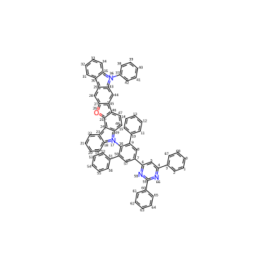 c1ccc(-c2cc(-c3cc(-c4ccccc4)c(-n4c5ccccc5c5c6oc7cc8c9ccccc9n(-c9ccccc9)c8cc7c6ccc54)c(-c4ccccc4)c3)nc(-c3ccccc3)n2)cc1